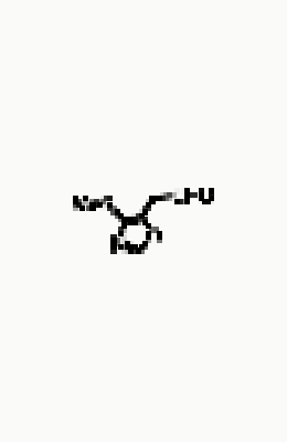 CSc1ncoc1CC=O